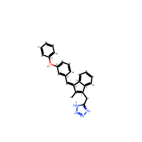 CC1=C(Cc2nnn[nH]2)c2ccccc2/C1=C\c1cccc(Oc2ccccc2)c1